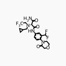 NC(=O)[C@H](C(=O)Nc1ccc(N2CCOCC2=O)c(C(F)F)c1)N(CC1CC1)CC(F)(F)F